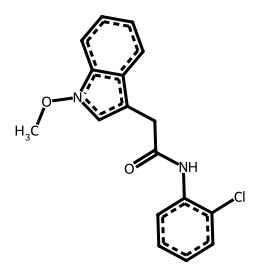 COn1cc(CC(=O)Nc2ccccc2Cl)c2ccccc21